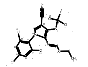 CCOC=Nc1c(SC(F)(Cl)Cl)c(C#N)cn1-c1c(Cl)cc(Cl)cc1Cl